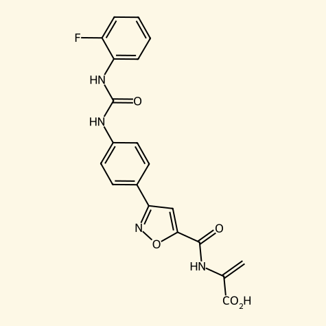 C=C(NC(=O)c1cc(-c2ccc(NC(=O)Nc3ccccc3F)cc2)no1)C(=O)O